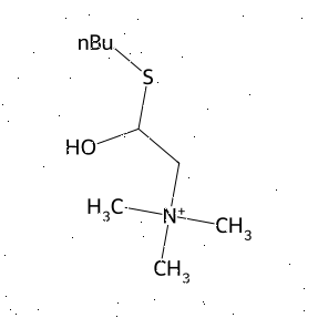 CCCCSC(O)C[N+](C)(C)C